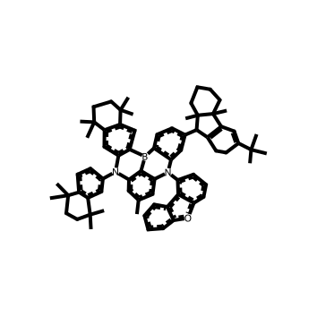 Cc1cc2c3c(c1)N(c1cccc4oc5ccccc5c14)c1cc(C4C5=C(C=C(C(C)(C)C)CC5)C5(C)CCCCC45C)ccc1B3c1cc3c(cc1N2c1ccc2c(c1)C(C)(C)CCC2(C)C)C(C)(C)CCC3(C)C